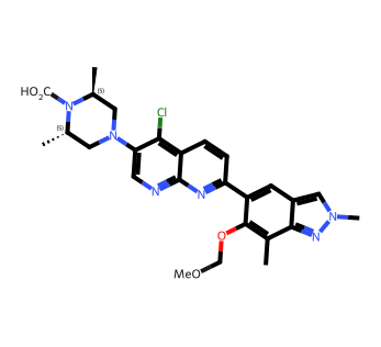 COCOc1c(-c2ccc3c(Cl)c(N4C[C@H](C)N(C(=O)O)[C@@H](C)C4)cnc3n2)cc2cn(C)nc2c1C